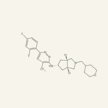 Fc1ccc(-c2cc(C(F)(F)F)c(N[C@@H]3C[C@@H]4CN(CC5CCOCC5)C[C@@H]4C3)nn2)c(F)c1